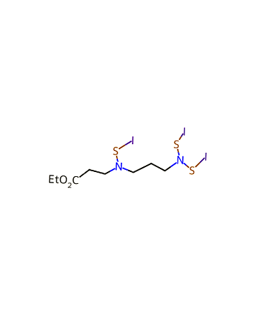 CCOC(=O)CCN(CCCN(SI)SI)SI